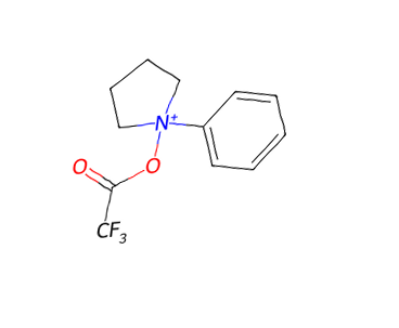 O=C(O[N+]1(c2ccccc2)CCCC1)C(F)(F)F